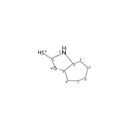 SC1NC2CCCCCC2S1